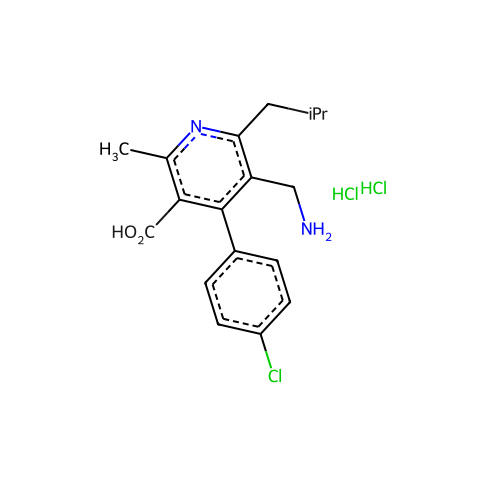 Cc1nc(CC(C)C)c(CN)c(-c2ccc(Cl)cc2)c1C(=O)O.Cl.Cl